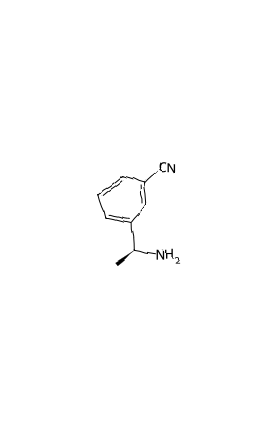 C[C@H](N)c1cccc(C#N)c1